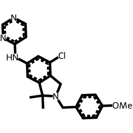 COc1ccc(CN2Cc3c(Cl)cc(Nc4ccncn4)cc3C2(C)C)cc1